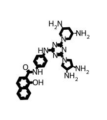 N[C@@H]1C[C@H](N)CN(c2nc(Nc3ccc(NC(=O)c4ccc5ccccc5c4O)cc3)nc(N3C[C@@H](N)[C@@H](N)C3)n2)C1